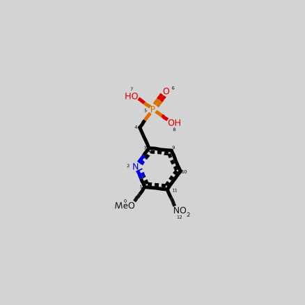 COc1nc(CP(=O)(O)O)ccc1[N+](=O)[O-]